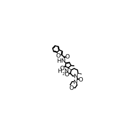 CC1C=C(NC(=O)c2cc3ccccc3o2)C(=O)C1(N)[C@H]1CC[C@@H](C)N(C(=O)N2CCOCC2)CC1=O